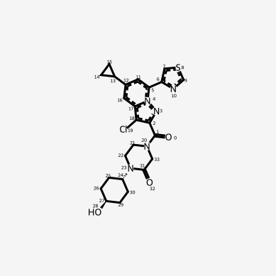 O=C(c1nn2c(-c3cscn3)cc(C3CC3)cc2c1Cl)N1CCN([C@H]2CC[C@H](O)CC2)C(=O)C1